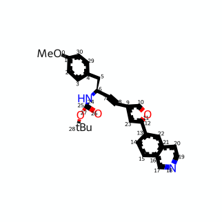 COc1ccc(C[C@@H](C#Cc2coc(-c3ccc4cnccc4c3)c2)NC(=O)OC(C)(C)C)cc1